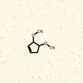 N#COC1C=CCC1OC#N